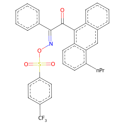 CCCc1cccc2c(C(=O)/C(=N/OS(=O)(=O)c3ccc(C(F)(F)F)cc3)c3ccccc3)c3ccccc3cc12